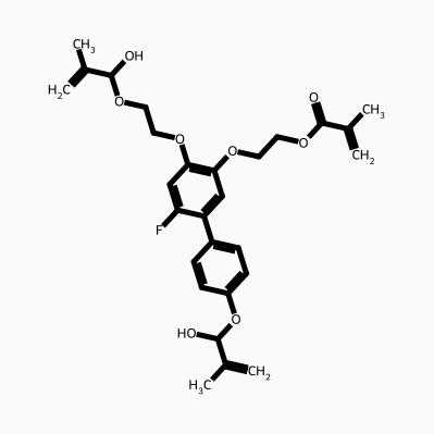 C=C(C)C(=O)OCCOc1cc(-c2ccc(OC(O)C(=C)C)cc2)c(F)cc1OCCOC(O)C(=C)C